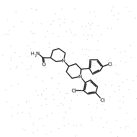 NC(=O)C1CCCN(C2CCN(c3ccc(Cl)cc3Cl)C(c3ccc(Cl)cc3)C2)C1